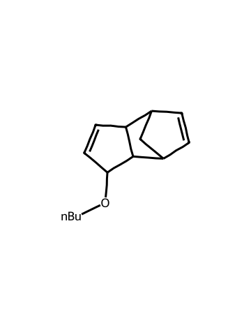 CCCCOC1C=CC2C3C=CC(C3)C12